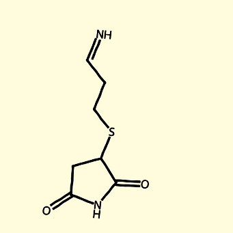 N=CCCSC1CC(=O)NC1=O